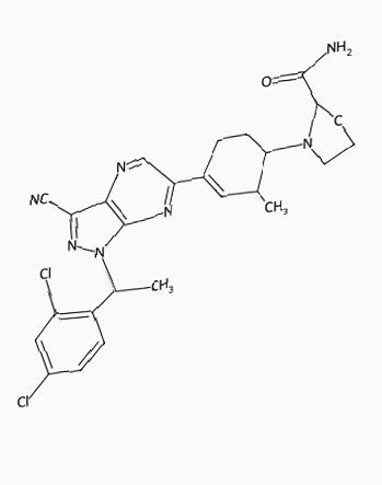 CC1C=C(c2cnc3c(C#N)nn(C(C)c4ccc(Cl)cc4Cl)c3n2)CCC1N1CCCC1C(N)=O